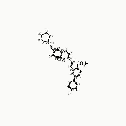 O=C(O)c1ccc(-c2ccc(F)cc2)cc1C=Cc1ccc2cc(OCC3CCCCC3)ccc2c1